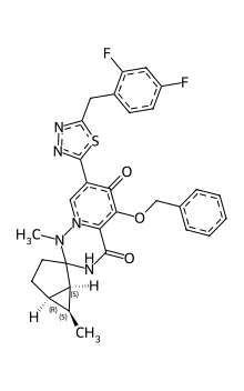 C[C@H]1[C@H]2CCC3(NC(=O)c4c(OCc5ccccc5)c(=O)c(-c5nnc(Cc6ccc(F)cc6F)s5)cn4N3C)[C@@H]12